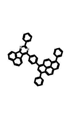 c1ccc(-c2nc(-c3ccc(-c4cc(-c5ccccc5)c5ccc6ccc(-c7ccccc7)c7ccc4c5c67)cc3)c3c(n2)-c2cccc4cccc-3c24)cc1